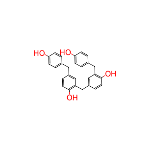 Oc1ccc(Cc2ccc(O)c(Cc3ccc(O)c(Cc4ccc(O)cc4)c3)c2)cc1